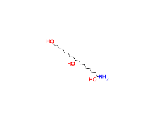 NC(O)CCCCCCCC(O)CCCCCCCCO